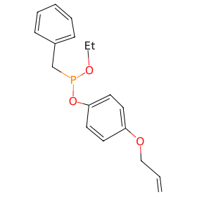 C=CCOc1ccc(OP(Cc2ccccc2)OCC)cc1